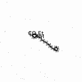 CCOC(=O)Cc1ccc(NCCCCCCCCCCCC2CCCCC2)cc1